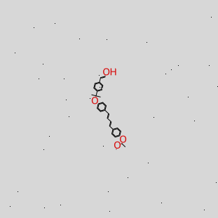 COC(C)Oc1ccc(C=CC=Cc2ccc(OC(C)(C)c3ccc(C=CO)cc3)cc2)cc1